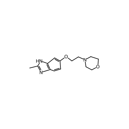 Cc1nc2ccc(OCCN3CCOCC3)cc2[nH]1